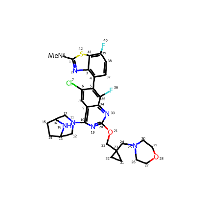 CNc1nc2c(-c3c(Cl)cc4c(N5CC6CCC(C5)N6)nc(OCC5(CN6CCOCC6)CC5)nc4c3F)ccc(F)c2s1